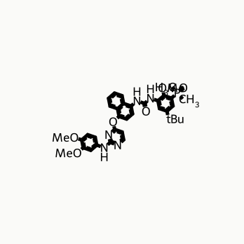 COc1ccc(Nc2nccc(Oc3ccc(NC(=O)Nc4cc(C(C)(C)C)cc(P(C)(C)=O)c4OC)c4ccccc34)n2)cc1OC